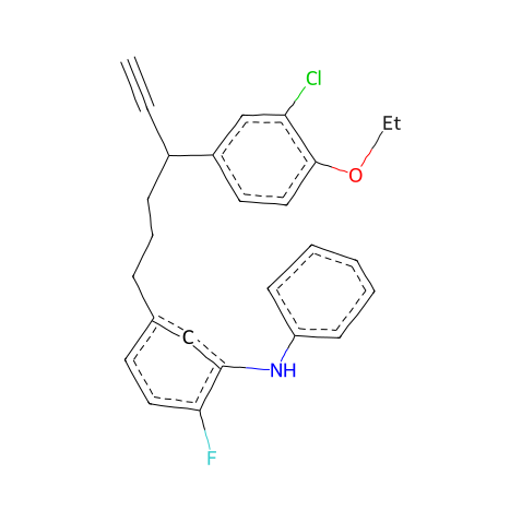 C#CC(CCCc1ccc(F)c(Nc2ccccc2)c1)c1ccc(OCC)c(Cl)c1